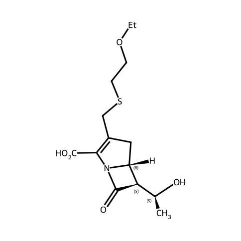 CCOCCSCC1=C(C(=O)O)N2C(=O)[C@H]([C@H](C)O)[C@H]2C1